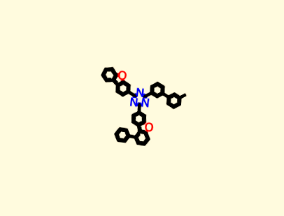 Cc1cccc(-c2cccc(-c3nc(-c4ccc5c(c4)oc4ccccc45)nc(-c4ccc5c(c4)oc4cccc(-c6ccccc6)c45)n3)c2)c1